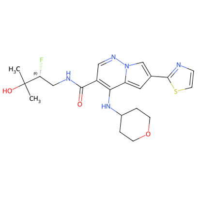 CC(C)(O)[C@H](F)CNC(=O)c1cnn2cc(-c3nccs3)cc2c1NC1CCOCC1